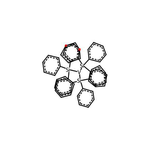 c1ccc([Si](c2ccccc2)(c2ccccc2)[V]([Si](c2ccccc2)(c2ccccc2)c2ccccc2)[Si](c2ccccc2)(c2ccccc2)c2ccccc2)cc1